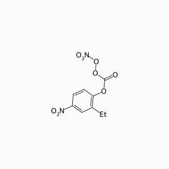 CCc1cc([N+](=O)[O-])ccc1OC(=O)OO[N+](=O)[O-]